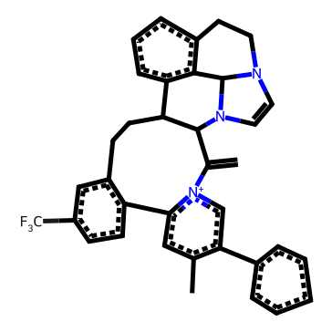 C=C1C2C(CCc3cc(C(F)(F)F)ccc3-c3cc(C)c(-c4ccccc4)c[n+]31)c1cccc3c1C1N(C=CN21)CC3